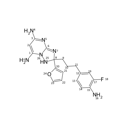 NC1=CC(N)=NC2=NC(CCCc3ccc(N)c(F)c3)(c3ccco3)NN12